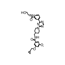 COc1cc(OCC2CC2)cc(C(=O)NCC2CCN(c3ncnc(-c4cccc(C(=O)NCCO)c4)n3)CC2)c1